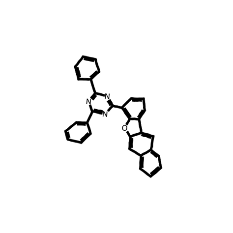 c1ccc(-c2nc(-c3ccccc3)nc(-c3cccc4c3oc3cc5ccccc5cc34)n2)cc1